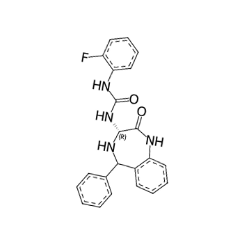 O=C(Nc1ccccc1F)N[C@H]1NC(c2ccccc2)c2ccccc2NC1=O